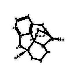 c1cc2c3c(c1)O[C@H]1CCCC4[C@@H](C2)NCCC341